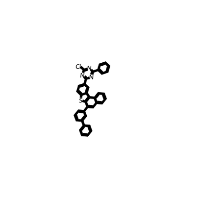 Clc1nc(-c2ccccc2)nc(-c2ccc3sc4c(-c5cccc(-c6ccccc6)c5)cc5ccccc5c4c3c2)n1